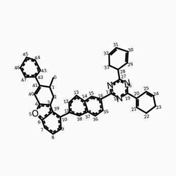 CC1Cc2c(oc3cccc(-c4ccc5cc(-c6nc(C7=CCCC=C7)nc(C7C=CC=CC7)n6)ccc5c4)c23)C=C1c1ccccc1